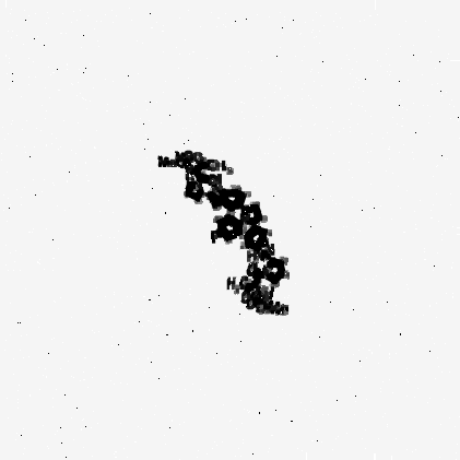 COC(=O)N[C@H](C(=O)N1CCC[C@H]1c1cc2cc([C@H]3CC[C@H](c4ccc5[nH]c([C@@H]6CCCN6C(=O)[C@@H](NC(=O)OC)C(C)OC)nc5c4)N3c3ccc(F)cc3)ccc2[nH]1)C(C)OC